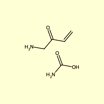 C=CC(=O)CN.NC(=O)O